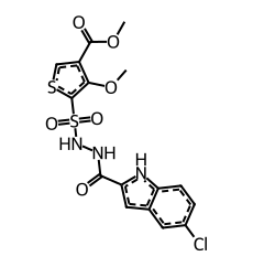 COC(=O)c1csc(S(=O)(=O)NNC(=O)c2cc3cc(Cl)ccc3[nH]2)c1OC